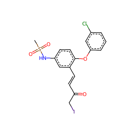 CS(=O)(=O)Nc1ccc(Oc2cccc(Cl)c2)c(/C=C/C(=O)CI)c1